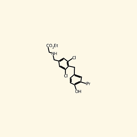 CCOC(=O)CNCc1cc(Cl)c(Cc2ccc(O)c(C(C)C)c2)c(Cl)c1